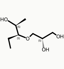 CC[C@H](OC[C@@H](O)CO)[C@H](C)O